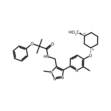 Cc1nc(-c2nnn(C)c2CNC(=O)C(C)(C)Oc2ccccc2)ccc1O[C@H]1CCC[C@H](C(=O)O)C1